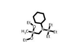 CCO[Si](C)(CN(C1CCCCC1)[Si](CC)(CC)CC)OCC